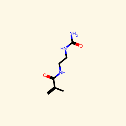 C=C(C)C(=O)NCCNC(N)=O